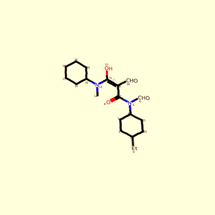 CCC1CCC(N(C=O)C(=O)/C(C=O)=C(/O)N(C)C2CCCCC2)CC1